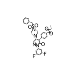 CCS(=O)(=O)c1ccc(-c2c(N3CCN(S(=O)(=O)Cc4ccccc4)CC3)cnn(-c3cc(F)cc(F)c3)c2=O)cc1